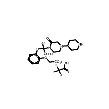 CC(=O)C(Oc1ccccc1OCC(=O)O)(C(=O)O)N1CCN(C2CCNCC2)CC1=O.O=C(O)C(F)(F)F